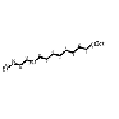 CCCCCCCCCCCCCCCCO[CH]COCC